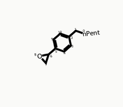 CCCCCCc1ccc(C2CO2)cc1